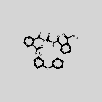 NC(=O)c1ccccc1C(=O)NC(=O)NC(=O)c1ccccc1C(N)=O.c1ccc(Oc2ccccc2)cc1